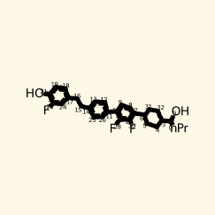 CCCC(O)C1CCC(c2ccc(-c3ccc(CCc4ccc(O)c(F)c4)cc3)c(F)c2F)CC1